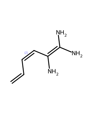 C=C/C=C\C(N)=C(N)N